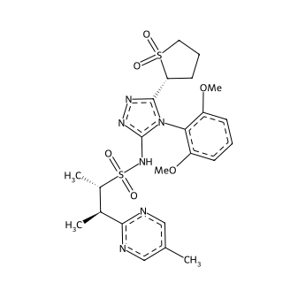 COc1cccc(OC)c1-n1c(NS(=O)(=O)[C@@H](C)[C@H](C)c2ncc(C)cn2)nnc1[C@H]1CCCS1(=O)=O